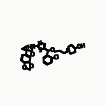 O=C(Nc1ncc(C(OCCCN2CCC(O)CC2)c2ccccc2Cl)s1)C1(c2ccc3c(c2)OCO3)CC1